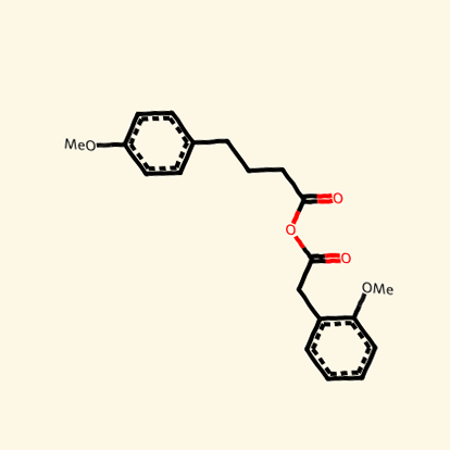 COc1ccc(CCCC(=O)OC(=O)Cc2ccccc2OC)cc1